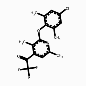 Cc1cc(C(=O)C(F)(F)F)c(C)c(Oc2c(C)cc(Cl)cc2C)n1